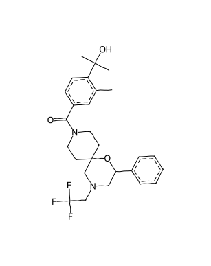 Cc1cc(C(=O)N2CCC3(CC2)CN(CC(F)(F)F)CC(c2ccccc2)O3)ccc1C(C)(C)O